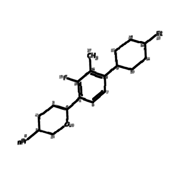 CCCC1CCC(c2ccc(C3CCC(CC)CC3)c(C)c2F)OC1